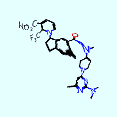 Cc1cc(N2CCC(N(C)C(=O)c3ccc4c(c3)C(N3C=CC=C(C(=O)O)C3C(F)(F)F)CC4)CC2)nc(N(C)C)n1